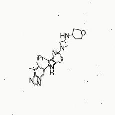 Cc1c(-c2[nH]c3ccc(N4CC(NC5CCOCC5)C4)nc3c2C(C)C)cn2ncnc2c1C